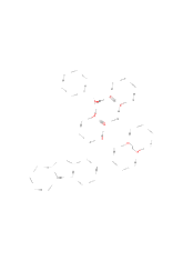 c1ccc(Cc2ccccc2-c2ccccc2Cc2cccc(N(c3ccccc3)c3ccc(-c4cccc5c4oc4ccccc45)cc3)c2)cc1